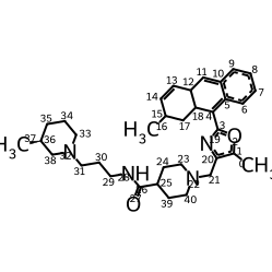 Cc1oc(C2=c3ccccc3=CC3C=CC(C)CC23)nc1CN1CCC(C(=O)NCCCN2CCC[C@H](C)C2)CC1